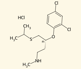 CNCC[C@H](CSC(C)C)Oc1ccc(Cl)cc1Cl.Cl